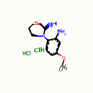 COc1ccc(N2CCSC2=N)c(N)c1.Cl.Cl